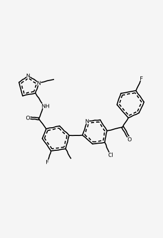 Cc1c(F)cc(C(=O)Nc2ccnn2C)cc1-c1cc(Cl)c(C(=O)c2ccc(F)cc2)cn1